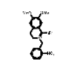 CCCC1=[N+](Cc2ccccc2[N+](=O)[O-])CCc2cc(OC)c(OC)cc21